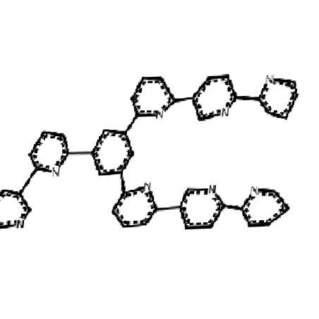 c1ccc(-c2ccc(-c3cccc(-c4cc(-c5cccc(-c6cccnc6)n5)cc(-c5cccc(-c6ccc(-c7ccccn7)nc6)n5)c4)n3)cn2)nc1